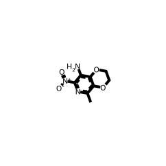 Cc1nc([N+](=O)[O-])c(N)c2c1OCCO2